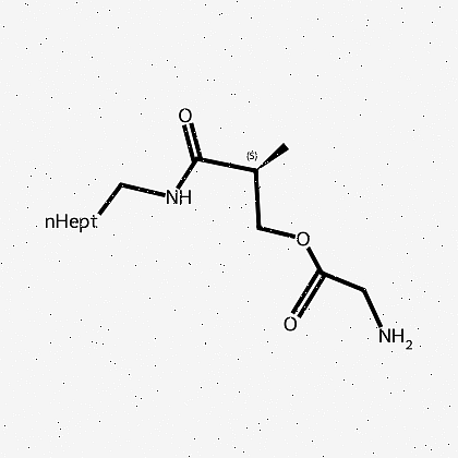 CCCCCCCCNC(=O)[C@@H](C)COC(=O)CN